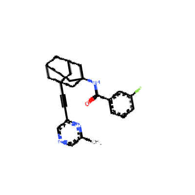 Cc1cncc(C#CC23CC4CC(C2)CC(NC(=O)c2cccc(F)c2)(C4)C3)n1